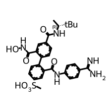 CS(=O)(=O)O.C[C@@H](NC(=O)c1ccc(-c2ccccc2C(=O)Nc2ccc(C(=N)N)cc2)c(C(=O)NO)c1)C(C)(C)C